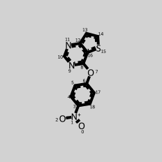 O=[N+]([O-])c1ccc(Oc2ncnc3ccsc23)cc1